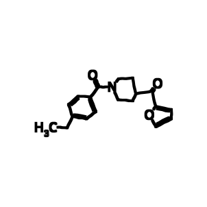 CCc1ccc(C(=O)N2CCC(C(=O)c3ccco3)CC2)cc1